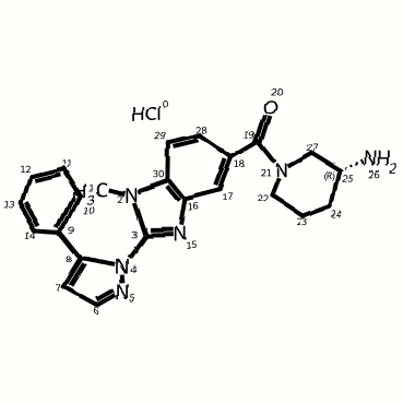 Cl.Cn1c(-n2nccc2-c2ccccc2)nc2cc(C(=O)N3CCC[C@@H](N)C3)ccc21